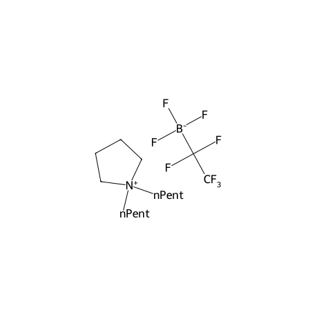 CCCCC[N+]1(CCCCC)CCCC1.F[B-](F)(F)C(F)(F)C(F)(F)F